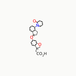 O=C(O)C[C@@H]1COc2cc(O[C@@H]3CCc4c3cccc4-n3ccccc3=O)ccc21